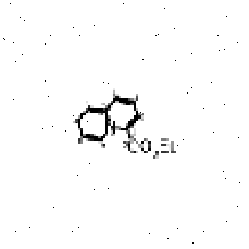 CCOC(=O)C1=CC=CC2=CCC=CN21